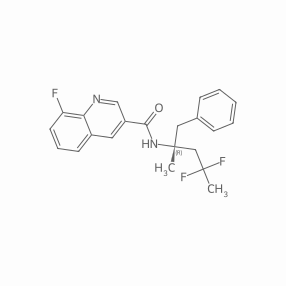 CC(F)(F)C[C@@](C)(Cc1ccccc1)NC(=O)c1cnc2c(F)cccc2c1